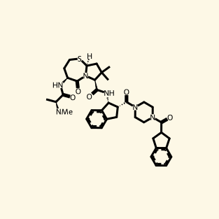 CN[C@@H](C)C(=O)N[C@H]1CCS[C@H]2CC(C)(C)[C@@H](C(=O)N[C@H]3c4ccccc4C[C@H]3C(=O)N3CCN(C(=O)C4Cc5ccccc5C4)CC3)N2C1=O